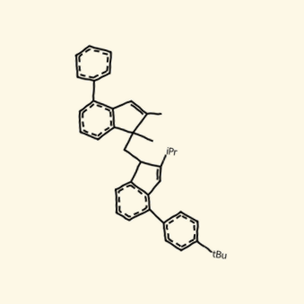 CC1=Cc2c(-c3ccccc3)cccc2C1(C)CC1C(C(C)C)=Cc2c(-c3ccc(C(C)(C)C)cc3)cccc21